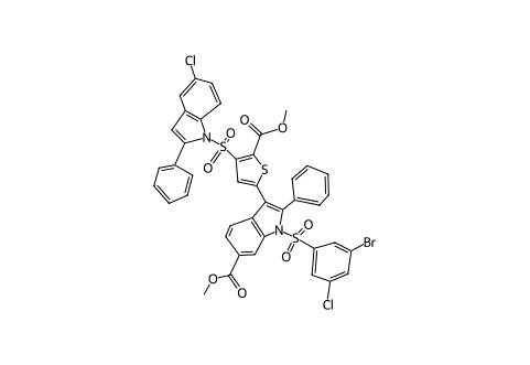 COC(=O)c1ccc2c(-c3cc(S(=O)(=O)n4c(-c5ccccc5)cc5cc(Cl)ccc54)c(C(=O)OC)s3)c(-c3ccccc3)n(S(=O)(=O)c3cc(Cl)cc(Br)c3)c2c1